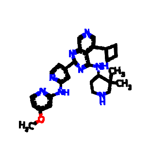 COc1ccnc(Nc2cc(-c3nc(N[C@H]4CCNCC4(C)C)c4c(C5CCC5)cncc4n3)ccn2)c1